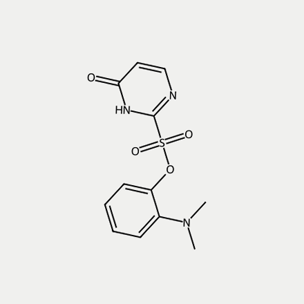 CN(C)c1ccccc1OS(=O)(=O)c1nccc(=O)[nH]1